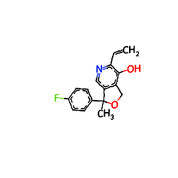 C=Cc1ncc2c(c1O)COC2(C)c1ccc(F)cc1